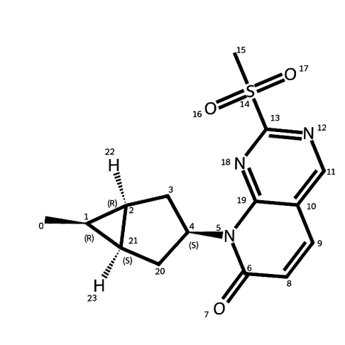 C[C@H]1[C@H]2C[C@@H](n3c(=O)ccc4cnc(S(C)(=O)=O)nc43)C[C@@H]12